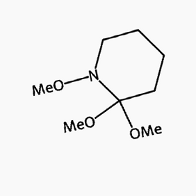 CON1CCCCC1(OC)OC